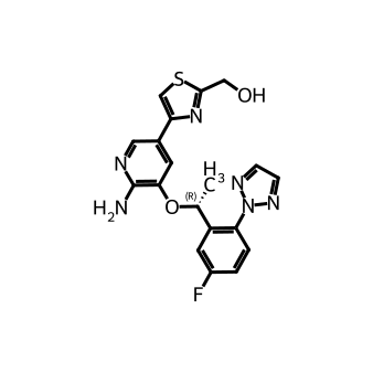 C[C@@H](Oc1cc(-c2csc(CO)n2)cnc1N)c1cc(F)ccc1-n1nccn1